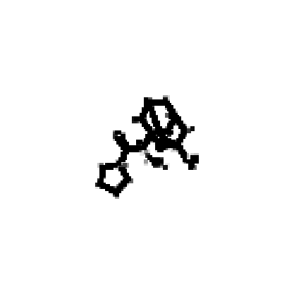 N[C@H](C(=O)N1CCCC1)C12CC3CC(CC(O)(C3)C1)C2